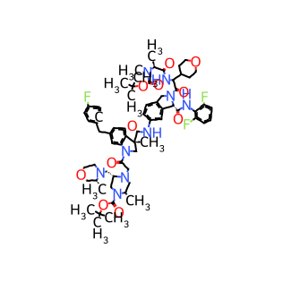 C[C@@H]1COCCN1C[C@H]1CN(C(=O)OC(C)(C)C)[C@H](C)CN1CC(=O)N1C[C@@](C)(C(=O)Nc2ccc3c(c2)[C@@H](C(=O)Nc2c(F)cccc2F)N(C(=O)C(NC(=O)[C@H](C)N(C)C(=O)OC(C)(C)C)C2CCOCC2)C3)c2ccc(Cc3ccc(F)cc3)cc21